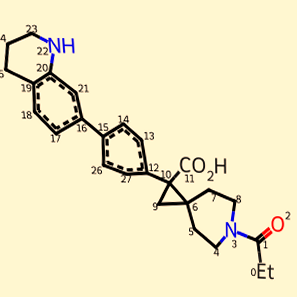 CCC(=O)N1CCC2(CC1)CC2(C(=O)O)c1ccc(-c2ccc3c(c2)NCCC3)cc1